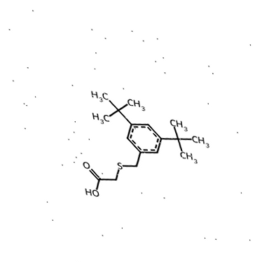 CC(C)(C)c1cc(CSCC(=O)O)cc(C(C)(C)C)c1